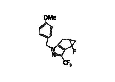 COc1ccc(Cn2nc(C(F)(F)F)c3c2CC2CC32F)cc1